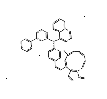 C=Cc1cccccc(C)cc(/C=C\c2ccc(N(c3cccc(-c4ccccc4)c3)c3cccc4ccccc34)cc2)c1C=C